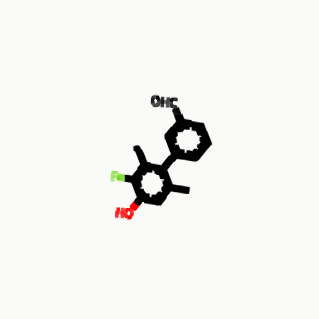 Cc1cc(O)c(F)c(C)c1-c1cccc(C=O)c1